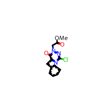 COC(=O)Cn1nc(Cl)n2c(cc3ccccc32)c1=O